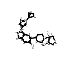 C[C@@]1(N2CCC(c3cc4c(cnn4-c4cnn(C56CC(C5)C6)c4)cc3Cl)CC2)COC[C@H]1O